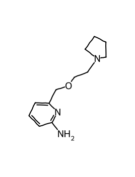 Nc1cccc(COCCN2CCCC2)n1